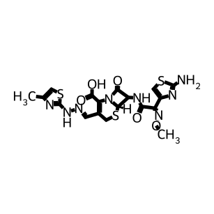 CO/N=C(\C(=O)NC1C(=O)N2C(C(=O)O)=C(C=NNc3nc(C)cs3)CS[C@@H]12)c1csc(N)n1